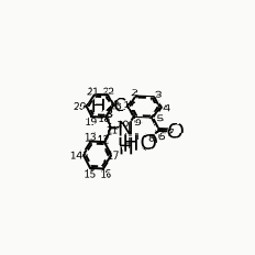 Cc1cccc(C(=O)O)c1NC(c1ccccc1)c1ccccc1